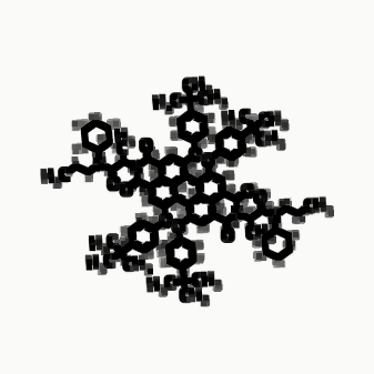 CCCN(C(=O)C(C)N1C(=O)c2cc(Oc3ccc(C(C)(C)C)cc3)c3c4c(Oc5ccc(C(C)(C)C)cc5)cc5c6c(cc(Oc7ccc(C(C)(C)C)cc7)c(c7c(Oc8ccc(C(C)(C)C)cc8)cc(c2c37)C1=O)c64)C(=O)N(C(C)C(=O)N(CCC)C1CCCCC1)C5=O)C1CCCCC1